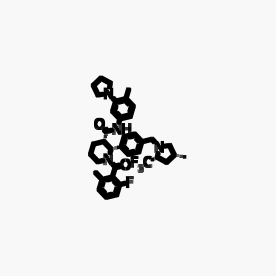 Cc1ccc(NC(=O)[C@H]2CCCN(C(=O)c3c(C)cccc3F)[C@H]2c2ccc(CN3C[C@H](C)C[C@@H]3C(F)(F)F)cc2)cc1N1CCCC1